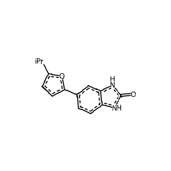 CC(C)c1ccc(-c2ccc3[nH]c(=O)[nH]c3c2)o1